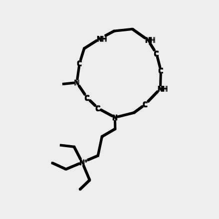 CC[N+](CC)(CC)CCCN1CCNCCNCCNCCN(C)CC1